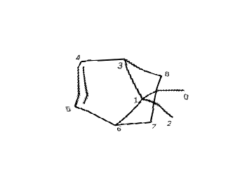 CC1(C)C2C=CC1CC2